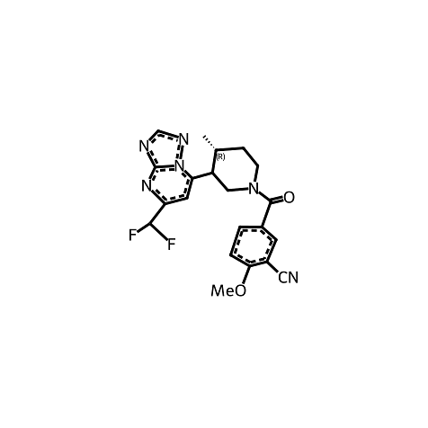 COc1ccc(C(=O)N2CC[C@@H](C)C(c3cc(C(F)F)nc4ncnn34)C2)cc1C#N